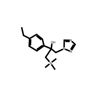 CCc1ccc(C(O)(Cn2cncn2)C[Si](C)(C)C)cc1